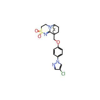 O=S1(=O)CCN2C(=N1)C1(COc3ccc(-n4cc(Cl)cn4)cc3)CCC2CC1